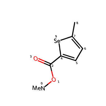 CNOC(=O)c1ccc(C)[se]1